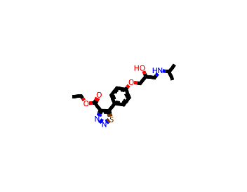 CCOC(=O)c1nnsc1-c1ccc(OCC(O)CNC(C)C)cc1